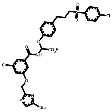 CCOC(=O)C(NC(=O)c1cc(Cl)cc(OCc2nc(C(C)(C)C)cs2)c1)Oc1ccc(CCCS(=O)(=O)c2ccc(Cl)cc2)cc1